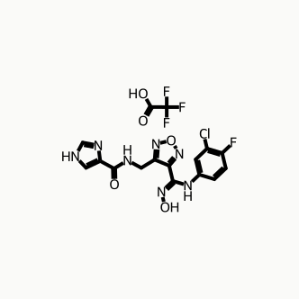 O=C(NCc1nonc1/C(=N/O)Nc1ccc(F)c(Cl)c1)c1c[nH]cn1.O=C(O)C(F)(F)F